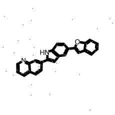 c1cnc2cc(-c3cc4cc(-c5cc6ccccc6o5)ccc4[nH]3)ccc2c1